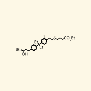 CCOC(=O)CCCSCCc1ccc(C(CC)(CC)c2ccc(CCC(O)C(C)(C)C)cc2)cc1C